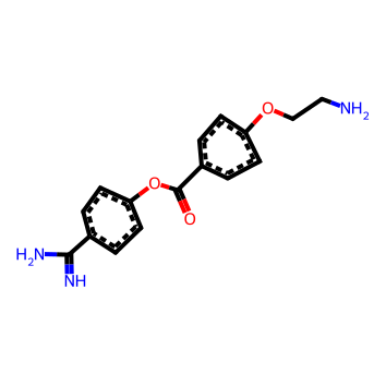 N=C(N)c1ccc(OC(=O)c2ccc(OCCN)cc2)cc1